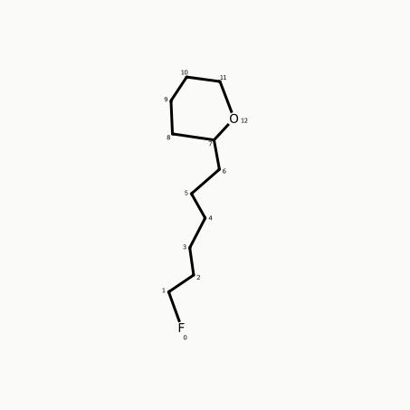 FCCCCCCC1CCCCO1